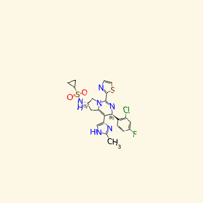 Cc1nc(C2=C3C[C@H](NS(=O)(=O)C4CC4)CN3C(c3nccs3)=N[C@H]2c2ccc(F)cc2Cl)c[nH]1